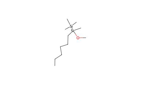 CCCCCC[Si](C)(OC)[Si](C)(C)C